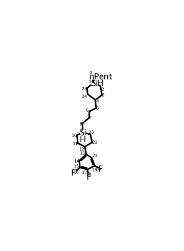 CCCCC[SiH]1CCC(CCCC[SiH]2CCC(c3cc(F)c(F)c(F)c3)CC2)CC1